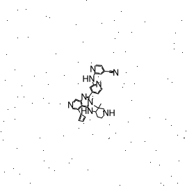 CC1(C)CNCCC1Nc1nc(-c2ccnc(Nc3cc(C#N)ccn3)c2)nc2cncc(C3=CC=C3)c12